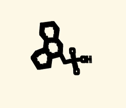 O=S(=O)(O)Cc1cc2ccccc2c2ccccc12